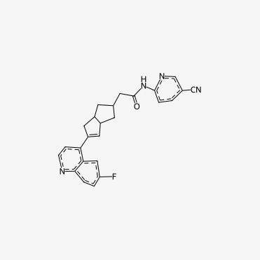 N#Cc1ccc(NC(=O)CC2CC3C=C(c4ccnc5ccc(F)cc45)CC3C2)nc1